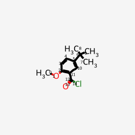 COc1ccc(C(C)(C)C)cc1C(=O)Cl